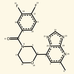 Cc1cc(C2CN(C(=O)c3ccc(F)c(F)c3)CCO2)n2ncnc2n1